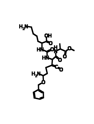 COC(=O)C(C)NC(=O)C(NC(=O)NC(CCCCN)C(=O)O)C(=C=O)CCC(N)OCc1ccccc1